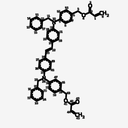 C=CC(=O)OCc1ccc(N(Cc2ccccc2)c2ccc(C=Cc3ccc(N(Cc4ccccc4)c4ccc(COC(=O)C=C)cc4)cc3)cc2)cc1